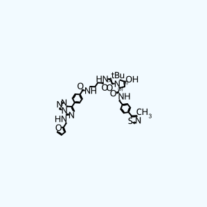 Cc1ncsc1-c1ccc(CNC(=O)[C@@H]2C[C@@H](O)CN2C(=O)[C@@H](NC(=O)CCCNC(=O)c2ccc(-c3cnc(NCc4ccco4)n4cnnc34)cc2)C(C)(C)C)cc1